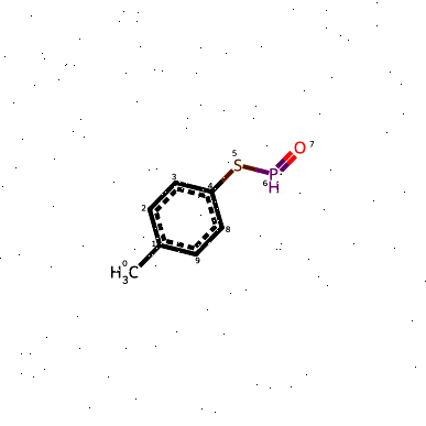 Cc1ccc(S[PH]=O)cc1